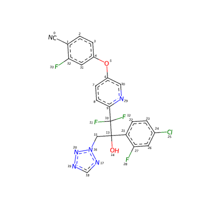 N#Cc1ccc(Oc2ccc(C(F)(F)C(O)(Cn3ncnn3)c3ccc(Cl)cc3F)nc2)cc1F